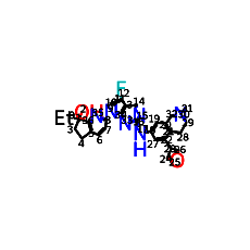 CCC1(O)CCc2ccc(-n3cc(F)c4cnc(Nc5cc6c(c(C7COC7)c5)CCN(C)C6)nc43)nc21